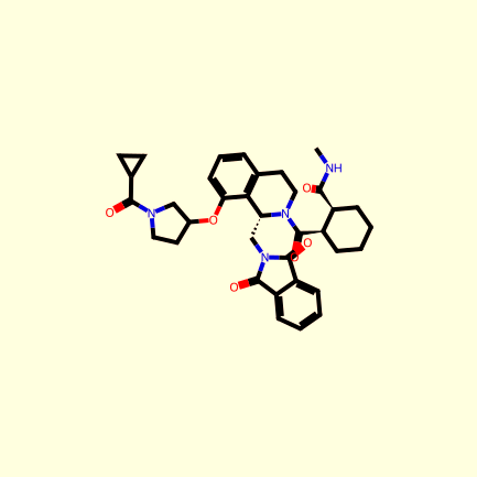 CNC(=O)[C@H]1CCCC[C@H]1C(=O)N1CCc2cccc(OC3CCN(C(=O)C4CC4)C3)c2[C@H]1CN1C(=O)c2ccccc2C1=O